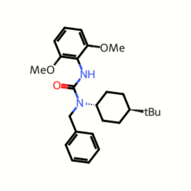 COc1cccc(OC)c1NC(=O)N(Cc1ccccc1)[C@H]1CC[C@H](C(C)(C)C)CC1